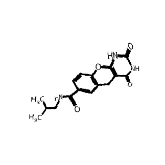 CC(C)CNC(=O)c1ccc2c(c1)Cc1c([nH]c(=O)[nH]c1=O)O2